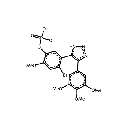 CCc1cc(OC)c(OP(=O)(O)O)cc1-c1[nH]nnc1-c1cc(OC)c(OC)c(OC)c1